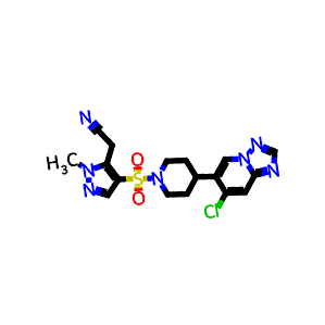 Cn1ncc(S(=O)(=O)N2CCC(c3cn4ncnc4cc3Cl)CC2)c1CC#N